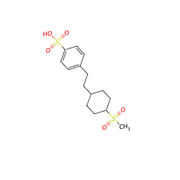 CS(=O)(=O)C1CCC(CCc2ccc(S(=O)(=O)O)cc2)CC1